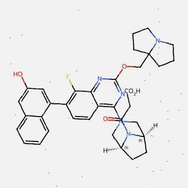 O=C(O)CC(=O)N1[C@@H]2CC[C@H]1CN(c1nc(OCC34CCCN3CCC4)nc3c(F)c(-c4cc(O)cc5ccccc45)ccc13)C2